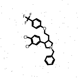 FC(F)(F)c1ccc(OCCC2CN(Cc3ccccc3)CC2c2ccc(Cl)c(Cl)c2)cc1